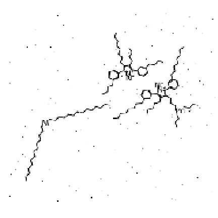 CCCCCCCCC1=C(c2cccc(CCCC)c2)[N+](=[N-])C(c2cccc(CCCC)c2)=C1CCCC.CCCCCCCCCCCCC[CH2][Ni][CH2]CCCCCCCCCCCCC.CCCCCCCCc1cccc(C2=C(CCCC)C(CCCCC)=C(c3cccc(CCCCCCCC)c3)[N+]2=[N-])c1.CCC[CH2][Pd][CH2]CCC